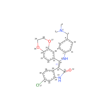 CN(C)Cc1ccc(N/C(=C2\C(=O)Nc3cc(Cl)ccc32)c2ccc3c(c2)OCCO3)cc1